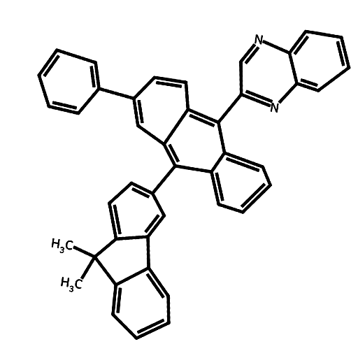 CC1(C)c2ccccc2-c2cc(-c3c4ccccc4c(-c4cnc5ccccc5n4)c4ccc(-c5ccccc5)cc34)ccc21